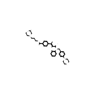 C/C(=C1/Oc2ccccc2N(Cc2ccc(N3CCOCC3)cc2)C1=O)c1ccc(C(=O)NCCCN2CCOCC2)cc1